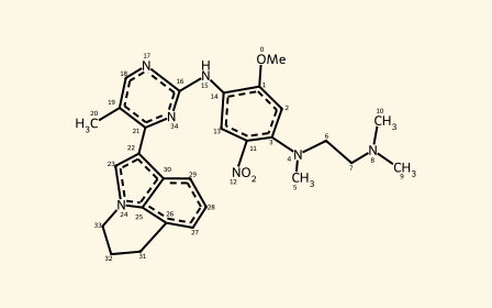 COc1cc(N(C)CCN(C)C)c([N+](=O)[O-])cc1Nc1ncc(C)c(-c2cn3c4c(cccc24)CCC3)n1